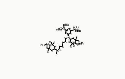 CCCCN(CCCC)c1cc(N(CCCCCCN(C)C2CC(C)(C)N(OCCC)C(C)(C)C2)C2CC(C)(C)N(OCCC)C(C)(C)C2)nc(N(CCCC)CCCC)n1